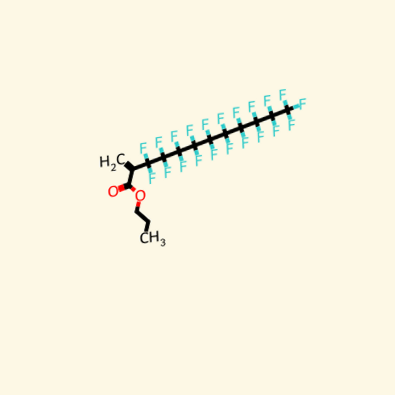 C=C(C(=O)OCCC)C(F)(F)C(F)(F)C(F)(F)C(F)(F)C(F)(F)C(F)(F)C(F)(F)C(F)(F)C(F)(F)C(F)(F)F